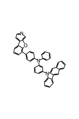 c1ccc(N(c2ccc(-c3cccc4c3oc3cnccc34)cc2)c2cccc(-n3c4ccccc4c4cc5ccccc5cc43)c2)cc1